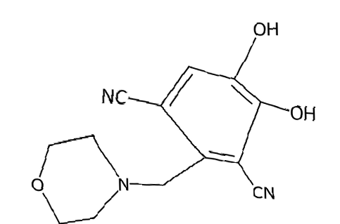 N#Cc1cc(O)c(O)c(C#N)c1CN1CCOCC1